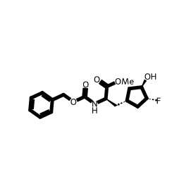 COC(=O)[C@@H](C[C@@H]1C[C@@H](O)[C@H](F)C1)NC(=O)OCc1ccccc1